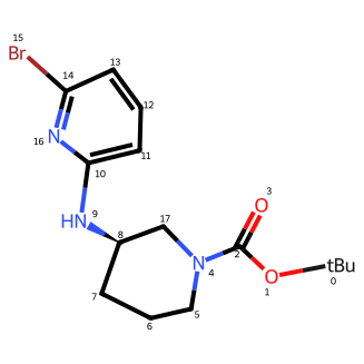 CC(C)(C)OC(=O)N1CCC[C@@H](Nc2cccc(Br)n2)C1